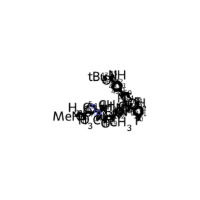 C=N/C(=C(\C=C/C)COC(=O)CNC)N(C)C(=O)OC(C)[n+]1cnn(CC(O)(c2cc(F)ccc2F)[C@@H](C)c2nc(-c3ccc(C(=N)OC(C)(C)C)cc3)cs2)c1